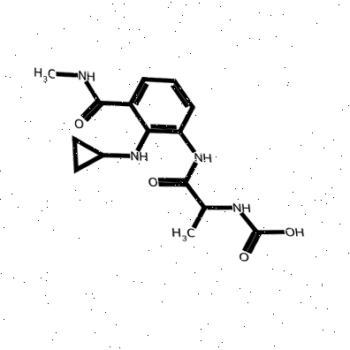 CNC(=O)c1cccc(NC(=O)C(C)NC(=O)O)c1NC1CC1